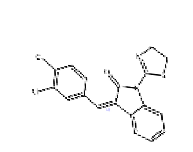 O=C1/C(=C\c2ccc(Cl)c(Cl)c2)c2ccccc2N1C1=NCCS1